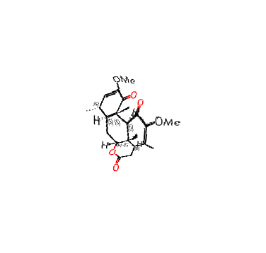 COC1=C[C@@H](C)[C@@H]2C[C@H]3OC(=O)C[C@H]4C(C)=C(OC)C(=O)[C@H]([C@@]2(C)C1=O)[C@@]34C